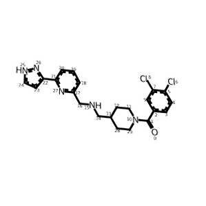 O=C(c1ccc(Cl)c(Cl)c1)N1CCC(CNCc2cccc(-c3cc[nH]n3)n2)CC1